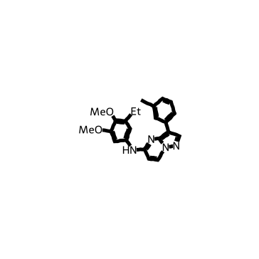 CCc1cc(Nc2ccn3ncc(-c4cccc(C)c4)c3n2)cc(OC)c1OC